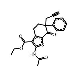 C#CCC1(c2ccccc2)CCc2c(sc(NC(C)=O)c2C(=O)OCC)C1=O